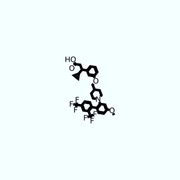 COc1ccc(-c2ccc(C(F)(F)F)cc2C(F)(F)F)c(N2CCC(COc3cccc(C(CC(=O)O)C4CC4)c3)CC2)c1